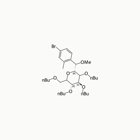 CCCCOCC1O[C@H](C(OC)c2ccc(Br)cc2C)C(OCCCC)[C@@H](OCCCC)[C@@H]1OCCCC